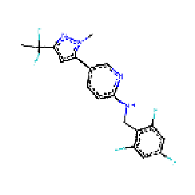 Cn1nc(C(C)(F)F)cc1-c1ccc(NCc2c(F)cc(F)cc2F)nc1